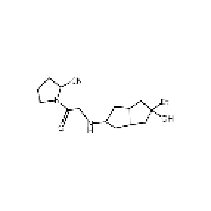 CCC1(O)CC2CC(NCC(=O)N3CCCC3C#N)CC2C1